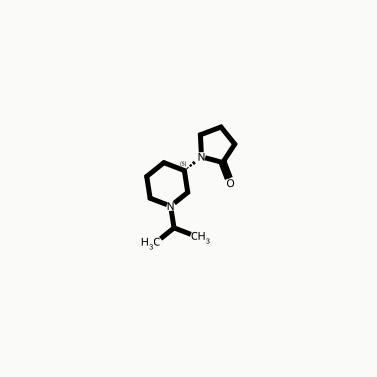 CC(C)N1CCC[C@H](N2CCCC2=O)C1